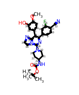 COc1ccc(-c2c(-c3ccc(C#N)c(F)c3)nc(N3CCC(NC(=O)OC(C)(C)C)CC3)n3ccnc23)cc1O